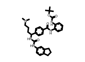 CN(C)CCCC(NC(=O)Nc1ccc2c(c1)CCC2)c1ccc(C(=O)Nc2ccccc2NC(=O)OC(C)(C)C)cc1